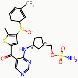 Cc1sc(C(=O)c2cncnc2N[C@H]2CC[C@@H](COS(N)(=O)=O)C2)cc1[S+]([O-])C1C=C(C(F)(F)F)C=CC1